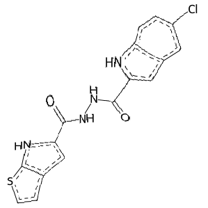 O=C(NNC(=O)c1cc2ccsc2[nH]1)c1cc2cc(Cl)ccc2[nH]1